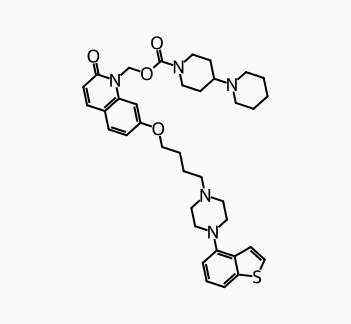 O=C(OCn1c(=O)ccc2ccc(OCCCCN3CCN(c4cccc5sccc45)CC3)cc21)N1CCC(N2CCCCC2)CC1